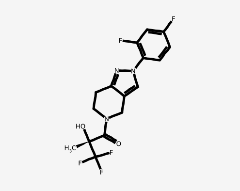 C[C@@](O)(C(=O)N1CCc2nn(-c3ccc(F)cc3F)cc2C1)C(F)(F)F